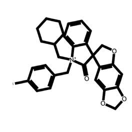 [CH]c1ccc(C[N+]2(CC3CCCCC3)C(=O)C3(COc4cc5c(cc43)OCO5)c3ccccc32)cc1